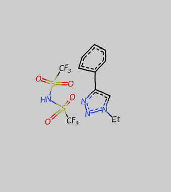 CCn1cc(-c2ccccc2)nn1.O=S(=O)(NS(=O)(=O)C(F)(F)F)C(F)(F)F